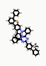 C[Si]1(C)c2ccccc2-c2ccc(-c3nc(-c4ccccc4)nc(-c4ccccc4-n4c5ccccc5c5cc6c(cc54)sc4c(-c5ccccc5)cccc46)n3)cc21